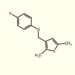 Cc1cc(COc2ccc(F)cc2)c(C)s1